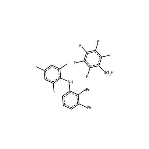 Cc1cc(C)c(Nc2cccc(C(C)C)c2C(C)C)c(C)c1.O=S(=O)(O)c1c(F)c(F)c(F)c(F)c1F